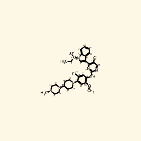 CC[S+]([O-])n1cc(-c2nc(Nc3cc(Cl)c(N4CCC(N5CCN(C)CC5)CC4)cc3OC)ncc2Cl)c2ccccc21